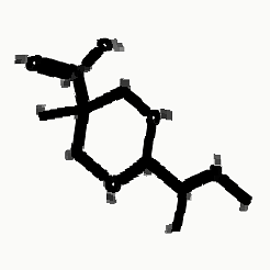 CSC(C)C1OCC(C)([N+](=O)[O-])CO1